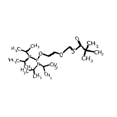 CC(C)N(C(C)C)P(OCCOCSC(=O)C(C)(C)C)N(C(C)C)C(C)C